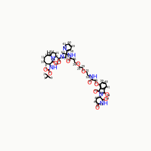 CC(C)(C)OC(=O)N[C@H]1CCCC[C@@H]2CC[C@@H](C(=O)N3CC(NC(=O)CCOCCOCCNC(=O)COc4cccc5c4C(=O)N(C4CCC(=O)NC4=O)C5=O)(c4ccccn4)C3)N2C1=O